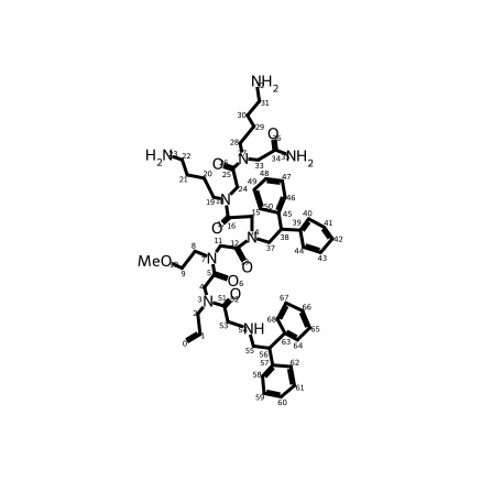 C=CCN(CC(=O)N(CCOC)CC(=O)N(CC(=O)N(CCCCN)CC(=O)N(CCCCN)CC(N)=O)CC(c1ccccc1)c1ccccc1)C(=O)CNCC(c1ccccc1)c1ccccc1